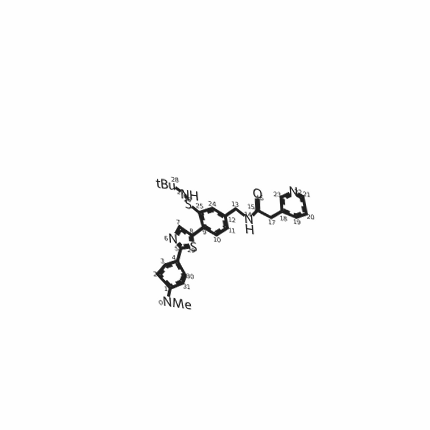 CNc1ccc(-c2ncc(-c3ccc(CNC(=O)Cc4cccnc4)cc3SNC(C)(C)C)s2)cc1